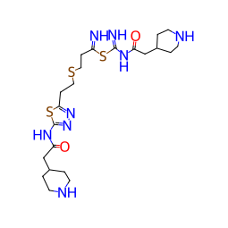 N=C(CCSCCc1nnc(NC(=O)CC2CCNCC2)s1)SC(=N)NC(=O)CC1CCNCC1